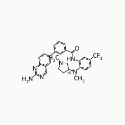 CN1CC[C@H](N(C)c2ccc(C(F)(F)F)cc2NC(=O)c2cccc(-c3ccc4nc(N)ncc4c3)c2)C1